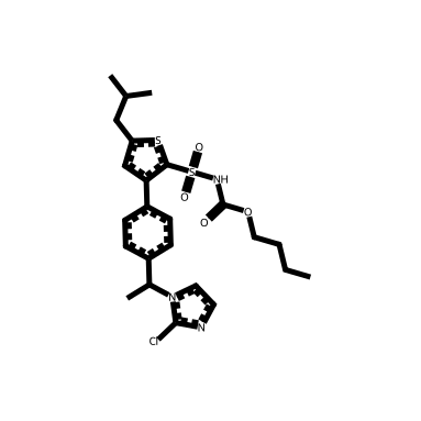 CCCCOC(=O)NS(=O)(=O)c1sc(CC(C)C)cc1-c1ccc(C(C)n2ccnc2Cl)cc1